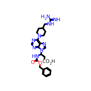 N=C(N)NCC1CCN(c2ncnc3c2ncn3C(CC(=O)O)NC(=O)OCc2ccccc2)CC1